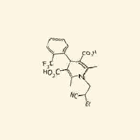 CCC(C#N)CN1C(C)=C(C(=O)O)C(c2ccccc2C(F)(F)F)C(C(=O)O)=C1C